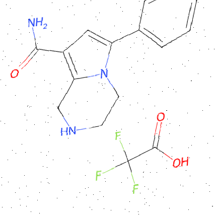 NC(=O)c1cc(-c2ccccc2)n2c1CNCC2.O=C(O)C(F)(F)F